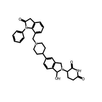 O=C1CCC(N2Cc3cc(C4CCN(Cc5cccc6c5N(c5ccccc5)C(=O)C6)CC4)ccc3C2O)C(=O)N1